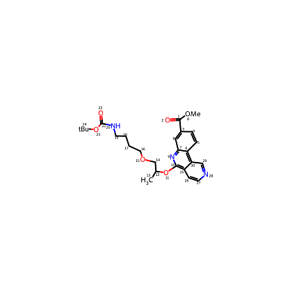 COC(=O)c1ccc2c(c1)nc(OC(C)COCCCCNC(=O)OC(C)(C)C)c1ccncc12